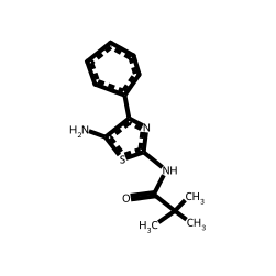 CC(C)(C)C(=O)Nc1nc(-c2ccccc2)c(N)s1